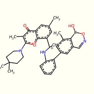 Cc1cc([C@@H](C)Nc2ccccc2-c2cc(C)c3c(c2)C=NOB3O)c2oc(N3CCC(C)(C)CC3)c(C)c(=O)c2c1